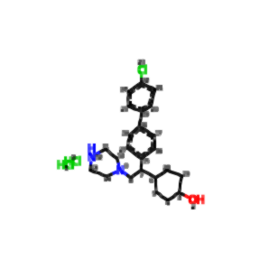 Cl.Cl.OC1CCC(C(CN2CCNCC2)c2ccc(-c3ccc(Cl)cc3)cc2)CC1